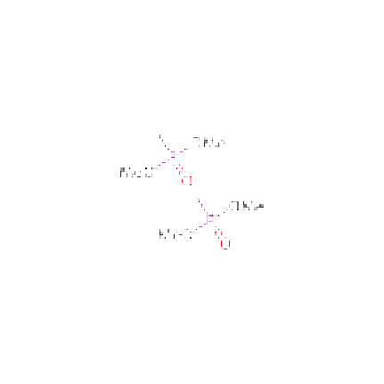 COP(C)(=O)OC.COP(C)(=O)OC